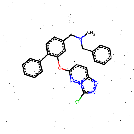 CN(Cc1ccccc1)Cc1ccc(-c2ccccc2)c(Oc2ccc3nnc(Cl)n3n2)c1